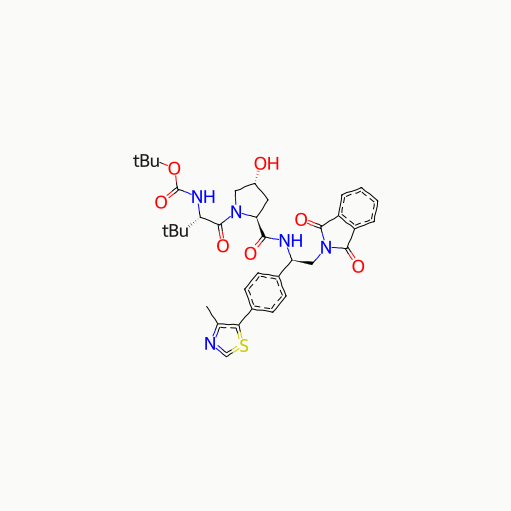 Cc1ncsc1-c1ccc([C@H](CN2C(=O)c3ccccc3C2=O)NC(=O)[C@@H]2C[C@@H](O)CN2C(=O)[C@@H](NC(=O)OC(C)(C)C)C(C)(C)C)cc1